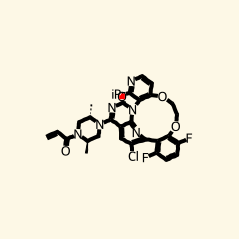 C=CC(=O)N1C[C@H](C)N(c2nc(=O)n3c4nc(c(Cl)cc24)-c2c(F)ccc(F)c2OCCOc2ccnc(C(C)C)c2-3)C[C@H]1C